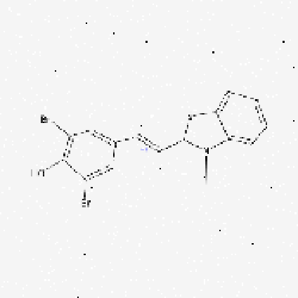 CN1c2ccccc2SC1/C=C/c1cc(Br)c(O)c(Br)c1